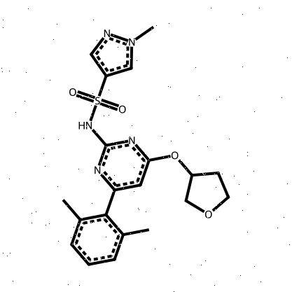 Cc1cccc(C)c1-c1cc(OC2CCOC2)nc(NS(=O)(=O)c2cnn(C)c2)n1